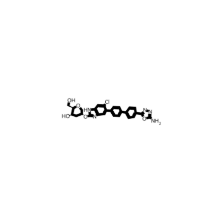 Nc1nnc(-c2ccc(-c3ccc(-c4cc5nc(O[C@H]6CO[C@H](CO)[C@@H](O)C6)[nH]c5cc4Cl)cc3)cc2)o1